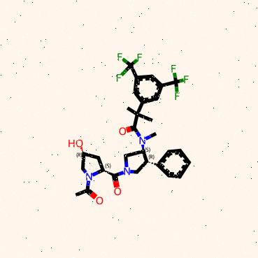 CC(=O)N1C[C@H](O)C[C@H]1C(=O)N1C[C@@H](N(C)C(=O)C(C)(C)c2cc(C(F)(F)F)cc(C(F)(F)F)c2)[C@H](c2ccccc2)C1